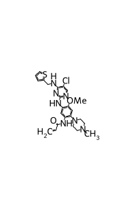 C=CC(=O)Nc1cc(Nc2ncc(Cl)c(NCc3cccs3)n2)c(OC)cc1N1CCN(C)CC1